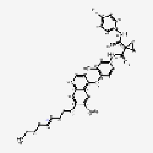 COc1cc2c(Oc3ccc(NC(=O)C4(C(=O)Nc5ccc(F)cc5)CC4)cc3F)ccnc2cc1OCC/C=C/CCCS